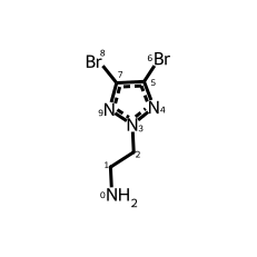 NCCn1nc(Br)c(Br)n1